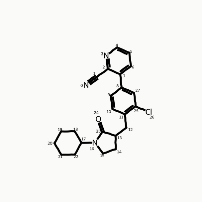 N#Cc1ncccc1-c1ccc(CC2CCN(C3CCCCC3)C2=O)c(Cl)c1